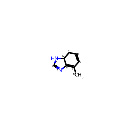 CC1=C2N=CNC2CC=C1